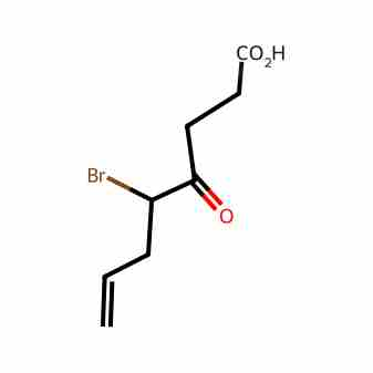 C=CCC(Br)C(=O)CCC(=O)O